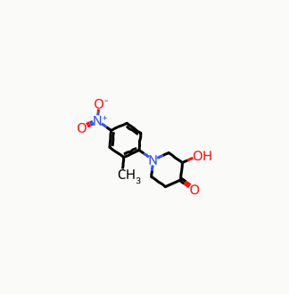 Cc1cc([N+](=O)[O-])ccc1N1CCC(=O)C(O)C1